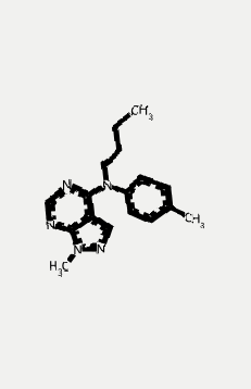 CCCCN(c1ccc(C)cc1)c1ncnc2c1cnn2C